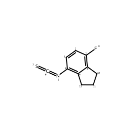 Fc1ccc(N=C=S)c2c1CCC2